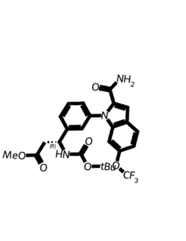 COC(=O)C[C@@H](NC(=O)OC(C)(C)C)c1cccc(-n2c(C(N)=O)cc3ccc(OC(F)(F)F)cc32)c1